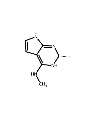 CNC1=c2cc[nH]c2=N[C@H](I)N1